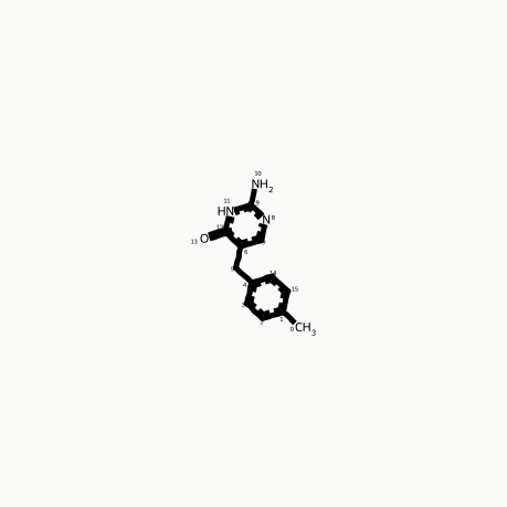 Cc1ccc(Cc2cnc(N)[nH]c2=O)cc1